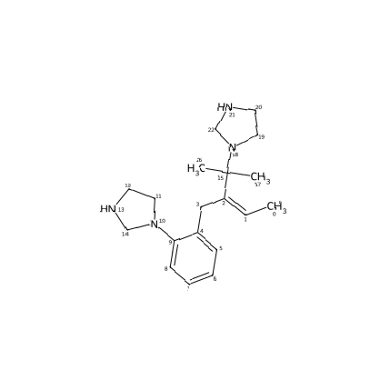 CC=C(Cc1ccccc1N1CCNC1)C(C)(C)N1CCNC1